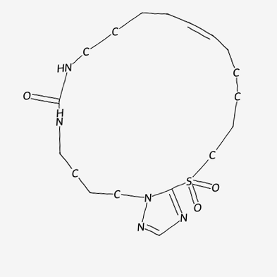 O=C1NCCCC/C=C\CCCCCS(=O)(=O)c2ncnn2CCCCN1